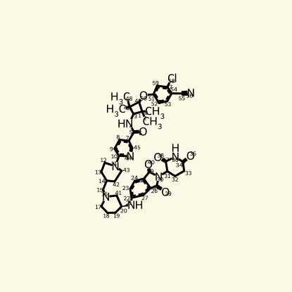 CC1(C)C(NC(=O)c2ccc(N3CCC(CN4CCC[C@H](Nc5ccc6c(c5)C(=O)N(C5CCC(=O)NC5=O)C6=O)C4)CC3)nc2)C(C)(C)C1Oc1ccc(C#N)c(Cl)c1